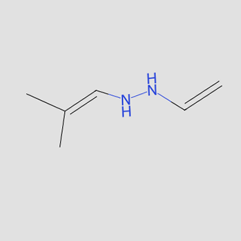 C=CNNC=C(C)C